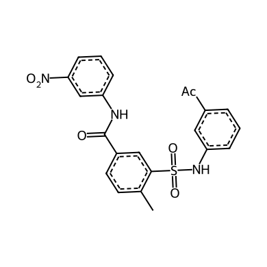 CC(=O)c1cccc(NS(=O)(=O)c2cc(C(=O)Nc3cccc([N+](=O)[O-])c3)ccc2C)c1